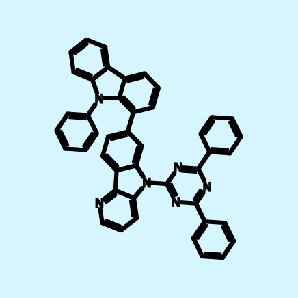 c1ccc(-c2nc(-c3ccccc3)nc(-n3c4cc(-c5cccc6c7ccccc7n(-c7ccccc7)c56)ccc4c4ncccc43)n2)cc1